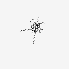 CCCCCCCC(=O)OC1(OC(=O)CCCCCCC)[CH2][Sn]([CH2]CCC)([CH2]CCC)[Sn]([CH2]CCC)([CH2]CCC)[O]C1(CCCC)CCCC